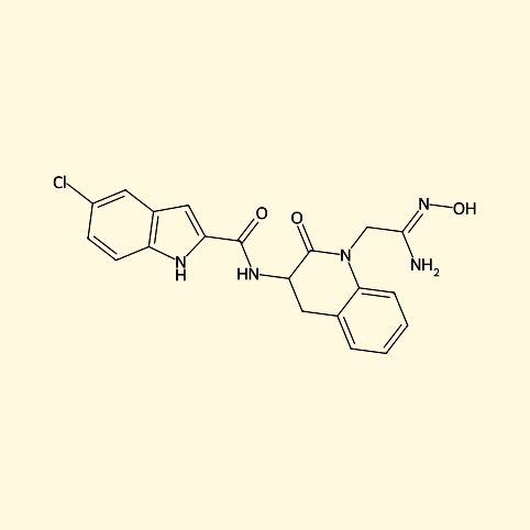 N/C(CN1C(=O)C(NC(=O)c2cc3cc(Cl)ccc3[nH]2)Cc2ccccc21)=N\O